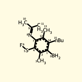 Bc1c(C)c(SF)c(N=C(C)C)c(C)c1CCCC